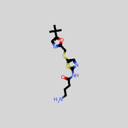 CC(C)(C)c1cnc(CSc2cnc(NC(=O)CCCN)s2)o1